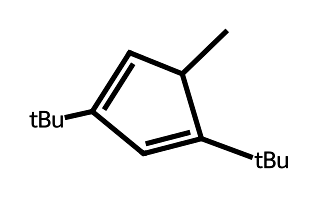 CC1C=C(C(C)(C)C)C=C1C(C)(C)C